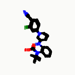 CC(C)(C)N(C(=O)O)[C@@H]1CCCC[C@H]1NC1CCCN(c2ccc(C#N)c(F)c2)C1